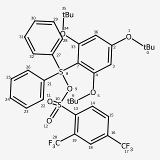 CC(C)(C)Oc1cc(OC(C)(C)C)c(S(OS(=O)(=O)c2ccc(C(F)(F)F)cc2C(F)(F)F)(c2ccccc2)c2ccccc2)c(OC(C)(C)C)c1